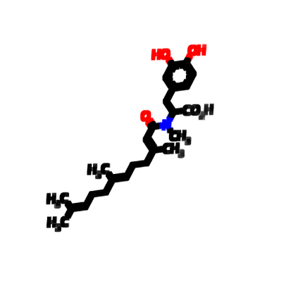 CC(C)=CCC/C(C)=C/CC/C(C)=C/C(=O)N(C)C(Cc1ccc(O)c(O)c1)C(=O)O